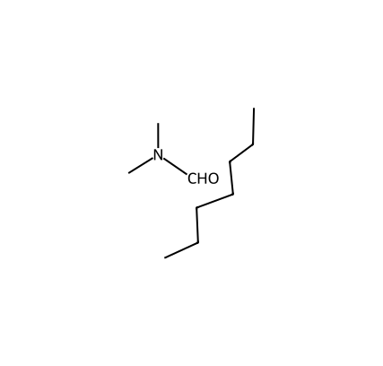 CCCCCCC.CN(C)C=O